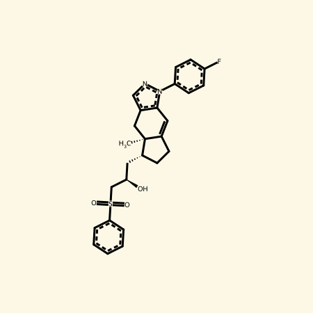 C[C@]12Cc3cnn(-c4ccc(F)cc4)c3C=C1CC[C@@H]2C[C@@H](O)CS(=O)(=O)c1ccccc1